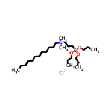 CCCCCCCCCCCC[N+](C)(C)CCC[Si](OCCC)(OCCC)OCCC.[Cl-]